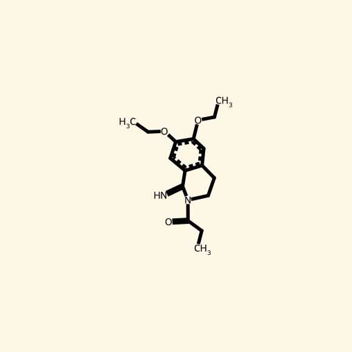 CCOc1cc2c(cc1OCC)C(=N)N(C(=O)CC)CC2